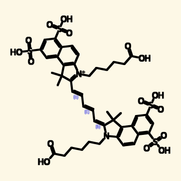 CC1(C)C(/C=C/C=C/C=C2/N(CCCCCC(=O)O)c3ccc4c(S(=O)(=O)O)cc(S(=O)(=O)O)cc4c3C2(C)C)=[N+](CCCCCC(=O)O)c2ccc3c(S(=O)(=O)O)cc(S(=O)(=O)O)cc3c21